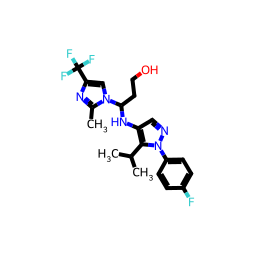 Cc1nc(C(F)(F)F)cn1C(CCO)Nc1cnn(-c2ccc(F)cc2)c1C(C)C